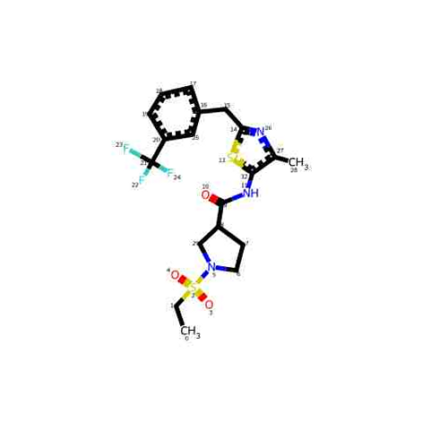 CCS(=O)(=O)N1CCC(C(=O)Nc2sc(Cc3cccc(C(F)(F)F)c3)nc2C)C1